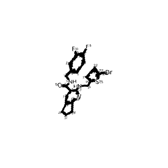 O=C(NCc1ccc(F)c(F)c1)c1cc2c(nc1NCc1ccc(Br)s1)CCC2